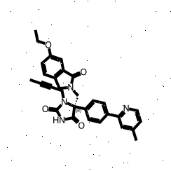 CC#CCN1C(=O)NC(=O)[C@]1(CN1Cc2ccc(OCC)cc2C1=O)c1ccc(-c2cc(C)ccn2)cc1